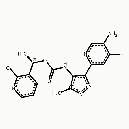 C[C@@H](OC(=O)Nc1c(-c2cc(F)c(N)cn2)nnn1C)c1cccnc1Cl